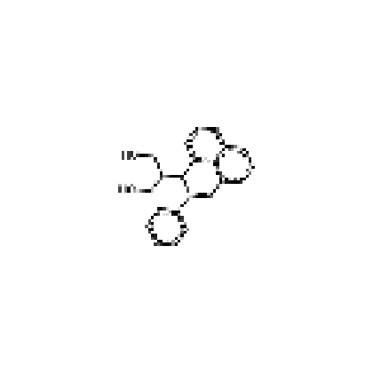 OCC(CO)C1C(c2ccccc2)=Cc2cccc3cccc1c23